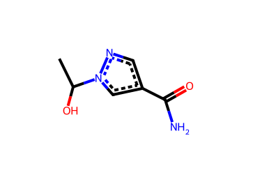 CC(O)n1cc(C(N)=O)cn1